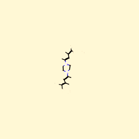 CCOC(=O)/C(C(C)=O)=C(C)\C=C(/C)N1CCN(/C(C)=C/C(C)=C(\C(C)=O)C(=O)OCC)CC1